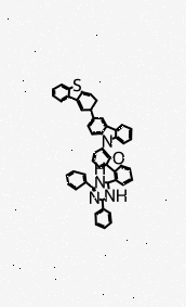 C1=c2sc3ccccc3c2=CC(c2ccc3c(c2)c2ccccc2n3-c2cccc3c2oc2cccc(C4NC(c5ccccc5)=NC(c5ccccc5)N4)c23)C1